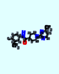 Cc1ccc(NC(=O)C2CCN(c3nccc(C(F)(F)F)n3)CC2)cc1C(F)(F)F